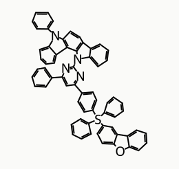 c1ccc(-c2cc(-c3ccc(S(c4ccccc4)(c4ccccc4)c4ccc5oc6ccccc6c5c4)cc3)nc(-n3c4ccccc4c4ccc5c(c6ccccc6n5-c5ccccc5)c43)n2)cc1